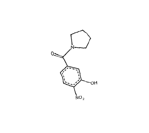 O=C(c1ccc([N+](=O)[O-])c(O)c1)N1CCCC1